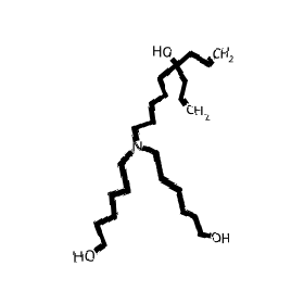 C=CCC(O)(CC=C)CCCCCN(CCCCCCO)CCCCCCO